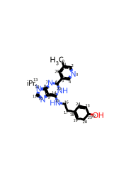 Cc1cncc(C2N=c3c(ncn3C(C)C)=C(NCCC3=CCC(O)C=C3)N2)c1